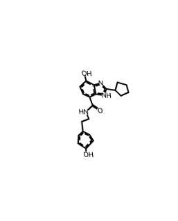 O=C(NCCc1ccc(O)cc1)c1ccc(O)c2nc(C3CCCC3)[nH]c12